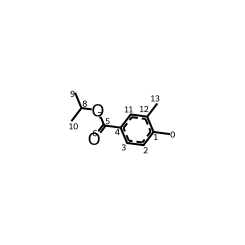 Cc1ccc(C(=O)OC(C)C)cc1C